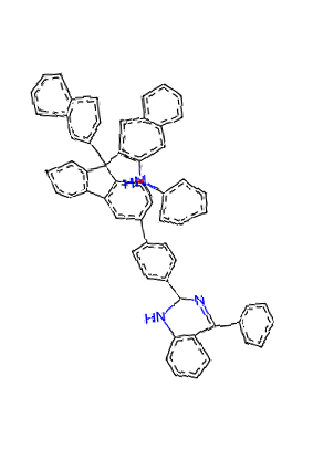 c1ccc(Nc2cc3ccccc3cc2C2(c3ccc4ccccc4c3)c3ccccc3-c3cc(-c4ccc(C5N=C(c6ccccc6)c6ccccc6N5)cc4)ccc32)cc1